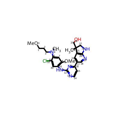 COCCCN(C)c1cc(OC)c(Nc2nccc(-c3cnc4c(c3)C(C)(CO)CN4)n2)cc1Cl